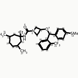 CCC1(NC(=O)N2CC(OC(c3ccc(SC)cc3)c3ccccc3C(F)(F)F)C2)CC(C)CCC(C)C1